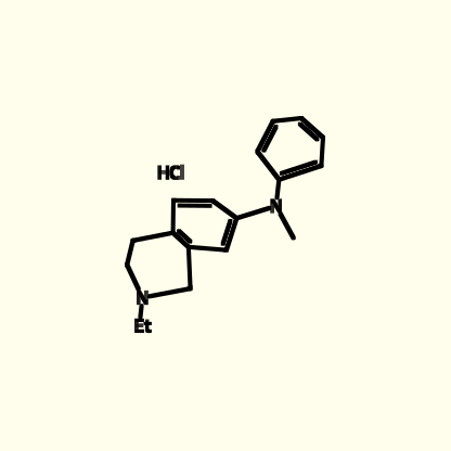 CCN1CCc2ccc(N(C)c3ccccc3)cc2C1.Cl